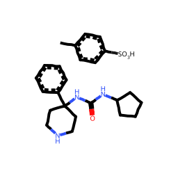 Cc1ccc(S(=O)(=O)O)cc1.O=C(NC1CCCC1)NC1(c2ccccc2)CCNCC1